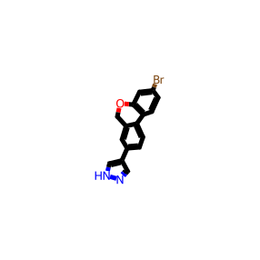 Brc1ccc2c(c1)OCc1cc(-c3cn[nH]c3)ccc1-2